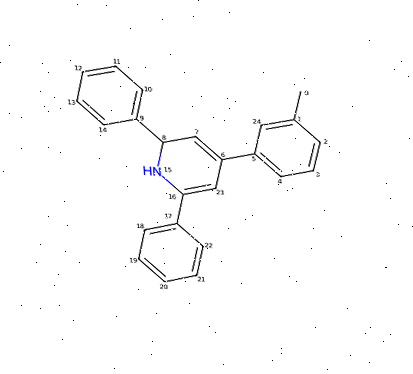 Cc1cccc(C2=CC(c3ccccc3)NC(c3ccccc3)=C2)c1